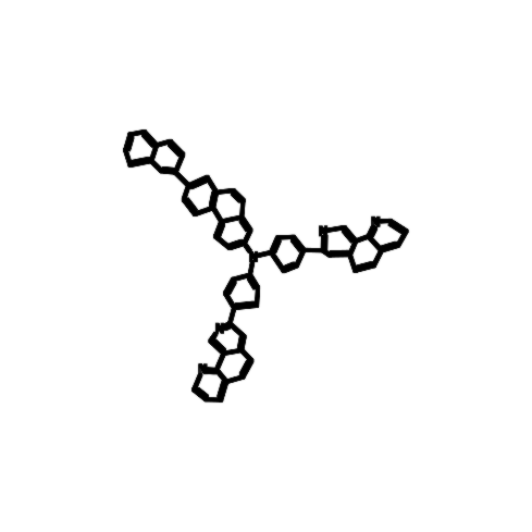 c1ccc2cc(-c3ccc4c(ccc5cc(N(c6ccc(-c7cc8ccc9cccnc9c8cn7)cc6)c6ccc(-c7cc8ccc9cccnc9c8cn7)cc6)ccc54)c3)ccc2c1